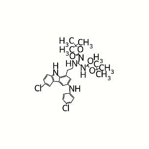 CC(C)(C)OC(=O)/N=C(\NCCc1cc(Nc2ccc(Cl)cc2)cc2c1[nH]c1ccc(Cl)cc12)NC(=O)OC(C)(C)C